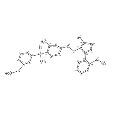 CCS(C)(c1cccc(CC(=O)O)c1)c1ccc(OCc2c(C(C)C)cnn2-c2ccccc2OC(F)(F)F)cc1C